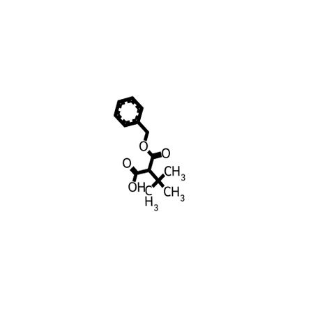 CC(C)(C)C(C(=O)O)C(=O)OCc1ccccc1